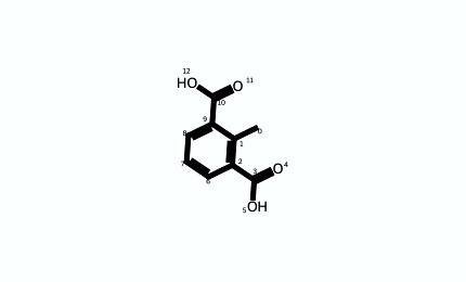 Cc1c(C(=O)O)cccc1C(=O)O